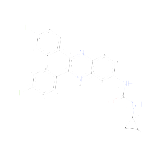 O=C(Nc1ccc2nc(-c3ccc(F)cc3)c(-c3ccc(F)cc3)nc2c1)NC1CC1